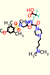 COc1cc(C)c(S(=O)(=O)N(C)Cc2nnc(C(=O)N3CCN(CCCCN(C)C)CC3)o2)c(C)c1.O=C(O)C(F)(F)F